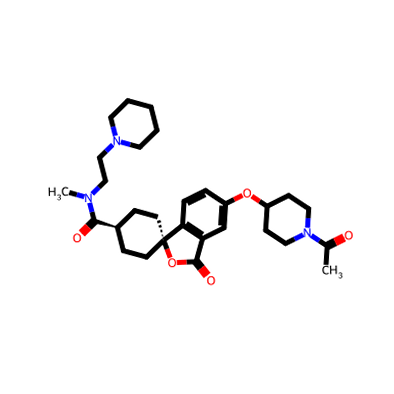 CC(=O)N1CCC(Oc2ccc3c(c2)C(=O)O[C@]32CC[C@H](C(=O)N(C)CCN3CCCCC3)CC2)CC1